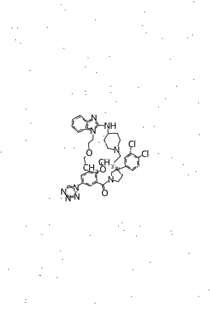 CCOCCn1c(NC2CCN(CC[C@]3(c4ccc(Cl)c(Cl)c4)CCN(C(=O)c4cc(-n5cnnn5)ccc4OC)C3)CC2)nc2ccccc21